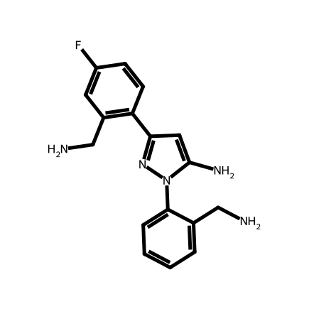 NCc1cc(F)ccc1-c1cc(N)n(-c2ccccc2CN)n1